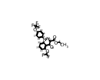 CCOC(=O)c1nn(-c2ccc(OC(F)(F)F)cc2)c2cccc(OC(F)F)c2c1=O